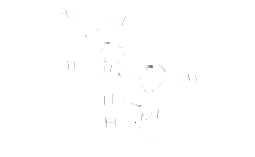 CCC(C)(C)c1ccc(Oc2ccc(O)cc2C(=O)NN(C)C)c(C(C)(C)CC)c1